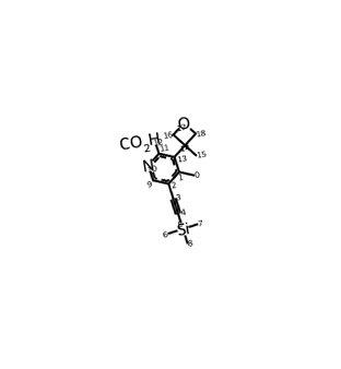 Cc1c(C#C[Si](C)(C)C)cnc(C(=O)O)c1C1(C)COC1